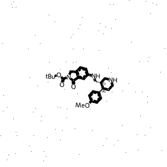 COc1ccc([C@@H]2CCNC[C@H]2CNc2ccc3c(c2)C(=O)N(C(=O)OC(C)(C)C)C3)cc1